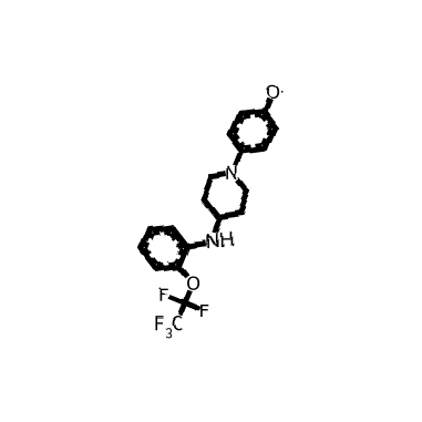 [O]c1ccc(N2CCC(Nc3ccccc3OC(F)(F)C(F)(F)F)CC2)cc1